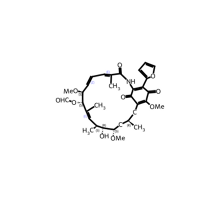 COC1=C2C[C@@H](C)C[C@H](OC)[C@H](O)[C@@H](C)/C=C(\C)[C@H](OC=O)[C@@H](OC)/C=C\C=C(/C)C(=O)NC(=C(c3ccco3)C1=O)C2=O